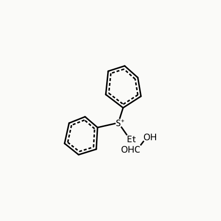 CC[S+](c1ccccc1)c1ccccc1.O=[C-]O